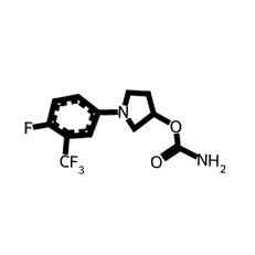 NC(=O)OC1CCN(c2ccc(F)c(C(F)(F)F)c2)C1